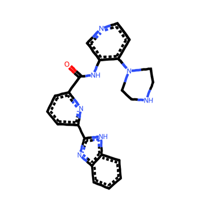 O=C(Nc1cnccc1N1CCNCC1)c1cccc(-c2nc3ccccc3[nH]2)n1